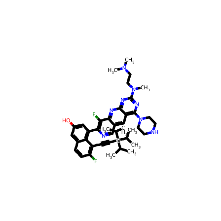 CC(C)[Si](C#Cc1c(F)ccc2cc(O)cc(-c3ncc4cc5c(N6CCNCC6)nc(N(C)CCN(C)C)nc5nc4c3F)c12)(C(C)C)C(C)C